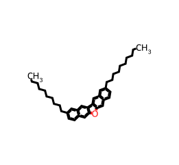 CCCCCCCCCCc1ccc2cc3oc4cc5ccc(CCCCCCCCCC)cc5cc4c3cc2c1